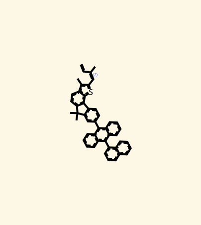 C=C/C(C)=C\c1sc2c3c(ccc2c1C)C(C)(C)c1cc(-c2c4ccccc4c(-c4cccc5ccccc45)c4ccccc24)ccc1-3